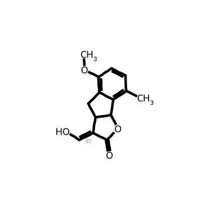 COc1ccc(C)c2c1CC1/C(=C\O)C(=O)OC21